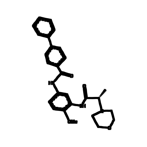 COc1ccc(NC(=O)c2ccc(-c3ccccc3)cc2)cc1NC(=O)[C@H](C)N1CCOCC1